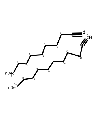 C#CCCCCCCCCCCCCCCCCC.C#CCCCCCCCCCCCCCCCCCC